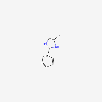 CC1CNC(c2ccccc2)N1